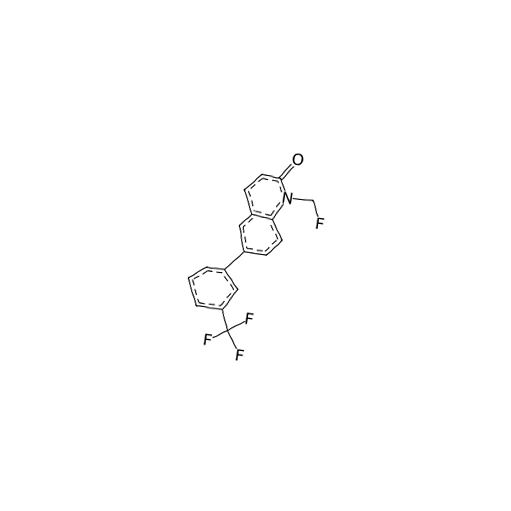 O=c1ccc2cc(-c3cccc(C(F)(F)F)c3)ccc2n1CF